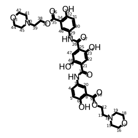 O=C(Nc1ccc(O)c(C(=O)OCCN2CCOCC2)c1)c1cc(O)c(C(=O)Nc2ccc(O)c(C(=O)OCCN3CCOCC3)c2)cc1O